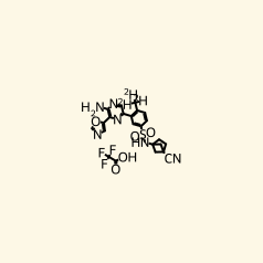 O=C(O)C(F)(F)F.[2H]C([2H])([2H])c1ccc(S(=O)(=O)NC23CCC(C#N)(C2)C3)cc1-c1cnc(N)c(-c2cnco2)n1